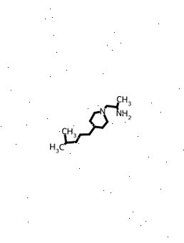 CC(C)CCCC1CCN(CC(C)N)CC1